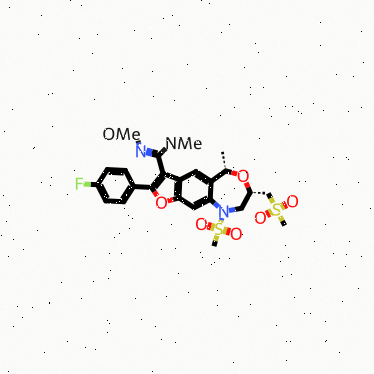 CN/C(=N\OC)c1c(-c2ccc(F)cc2)oc2cc3c(cc12)[C@H](C)O[C@H](CS(C)(=O)=O)CN3S(C)(=O)=O